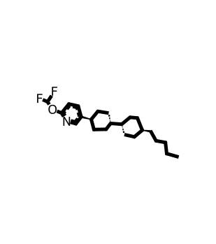 CCCCC[C@H]1CC[C@H]([C@H]2CC[C@H](c3ccc(OC(F)F)nc3)CC2)CC1